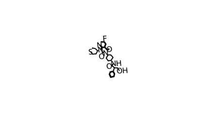 O=C(N[C@H]1CC[C@@H](n2c(=O)c3cc(F)cnc3n(C3CCSCC3)c2=O)CC1)C(CO)c1ccccc1